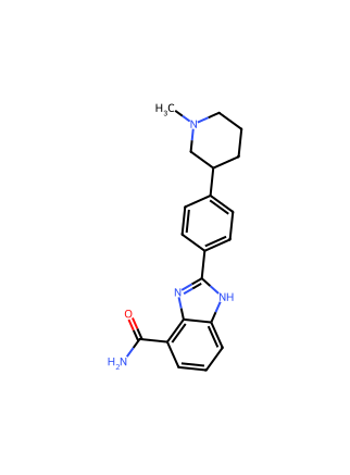 CN1CCCC(c2ccc(-c3nc4c(C(N)=O)cccc4[nH]3)cc2)C1